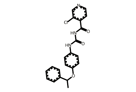 CC(Oc1ccc(NC(=O)NC(=O)c2ccncc2Cl)cc1)c1ccccc1